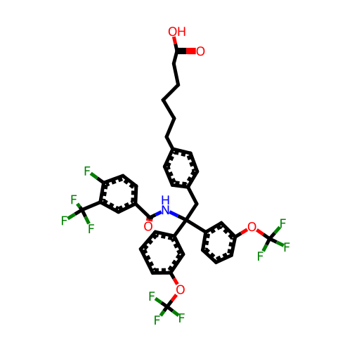 O=C(O)CCCCCc1ccc(CC(NC(=O)c2ccc(F)c(C(F)(F)F)c2)(c2cccc(OC(F)(F)F)c2)c2cccc(OC(F)(F)F)c2)cc1